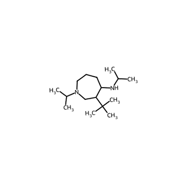 CC(C)NC1CCCN(C(C)C)CC1C(C)(C)C